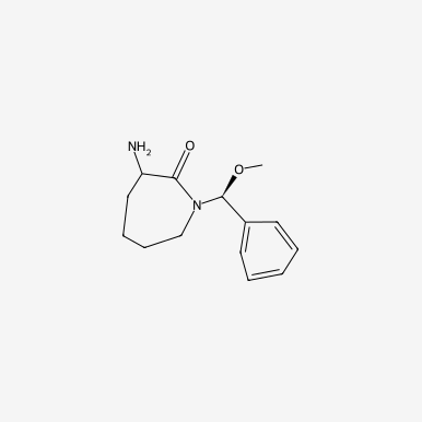 CO[C@@H](c1ccccc1)N1CCCCC(N)C1=O